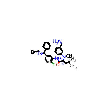 C=C(/C=C(/C(=O)Nc1cc(C(NCC2CC2)c2ccccc2)ccc1F)N(C)c1cccc(CN)c1)C(F)(F)F